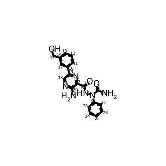 NC(=O)N(NC(=O)c1nc(-c2cccc(CO)c2)cnc1N)c1ccccc1